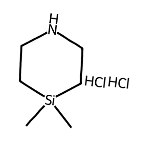 C[Si]1(C)CCNCC1.Cl.Cl